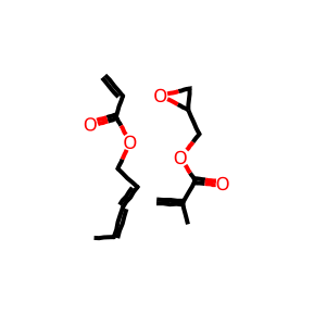 C=C(C)C(=O)OCC1CO1.C=CC(=O)OCC=C=CC